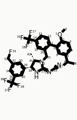 COc1ccc(C(C)C)cc1-c1ccc(C(F)(F)F)cc1CN1/C(=N\C#N)N[C@H](c2cc(CF)cc(C(F)(F)F)c2)[C@@H]1C